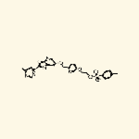 Cc1ccc(S(=O)(=O)OCCOc2ccc(COc3cnc4oc(-c5cc(C)ncn5)nc4c3)nc2)cc1